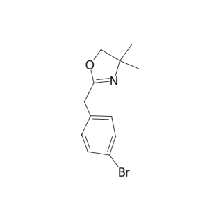 CC1(C)COC(Cc2ccc(Br)cc2)=N1